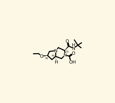 CCO[C@@H]1C[C@@H]2CN(C(=O)O)[C@H](C(=O)NC(C)(C)C)CN2C1